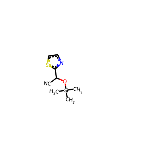 C[Si](C)(C)OC(C#N)c1nccs1